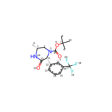 C[C@@H]1CN(C(=O)OC(C)(C)C)[C@H](c2cccc(C(F)(F)F)c2)C(=O)N1